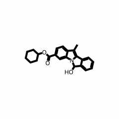 Cc1c2n(c3cc(C(=O)OC4CCCCC4)ccc13)C(O)c1ccccc1-2